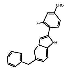 O=Cc1ccc(C2=CN3CC(Cc4ccccc4)=CC=C3N2)c(F)c1